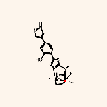 CN(c1nnc(-c2ccc(-c3cn[nH]c3)cc2O)s1)[C@H]1C[C@@]2(C)CC[C@]1(C)CN2